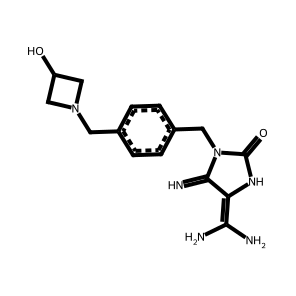 N=C1C(=C(N)N)NC(=O)N1Cc1ccc(CN2CC(O)C2)cc1